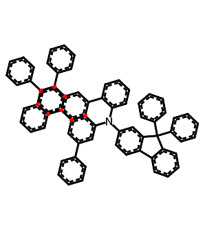 c1ccc(-c2cc(-c3ccccc3)cc(N(c3ccc4c(c3)C(c3ccccc3)(c3ccccc3)c3ccccc3-4)c3ccccc3-c3ccc4c(c3)c(-c3ccccc3)c(-c3ccccc3)c3ccccc34)c2)cc1